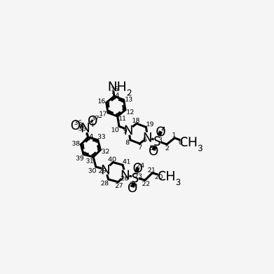 CCCS(=O)(=O)N1CCN(Cc2ccc(N)cc2)CC1.CCCS(=O)(=O)N1CCN(Cc2ccc([N+](=O)[O-])cc2)CC1